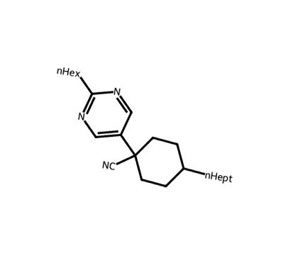 CCCCCCCC1CCC(C#N)(c2cnc(CCCCCC)nc2)CC1